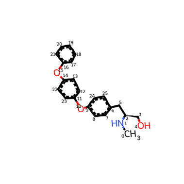 CN[C@H](CO)Cc1ccc(Oc2ccc(Oc3ccccc3)cc2)cc1